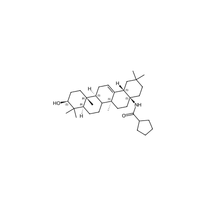 CC1(C)CC[C@]2(NC(=O)C3CCCC3)CC[C@]3(C)C(=CC[C@H]4C3CC[C@H]3C(C)(C)[C@@H](O)CC[C@]43C)[C@@H]2C1